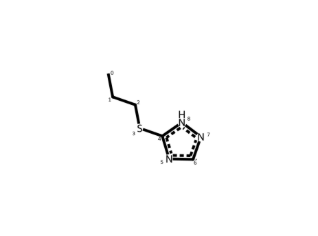 CCCSc1n[c]n[nH]1